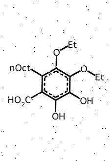 CCCCCCCCc1c(OCC)c(OCC)c(O)c(O)c1C(=O)O